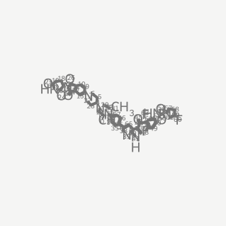 C[C@H]1CN(C2CCN(c3ccc4c(c3)C(=O)N(C3CCC(=O)NC3=O)C4=O)CC2)C[C@H](C)N1c1ccc(-c2cnc3[nH]cc(C(=O)c4c(F)ccc(NS(=O)(=O)N5CC[C@@H](F)C5)c4F)c3c2)cc1